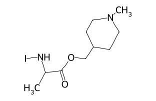 CC(NI)C(=O)OCC1CCN(C)CC1